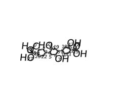 Cc1cc(-c2cc(O)c(-c3ccc(C(=O)O)c(O)c3)cc2O)ccc1C(=O)O